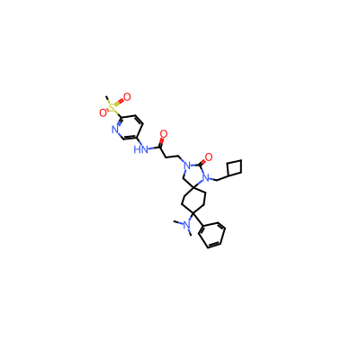 CN(C)C1(c2ccccc2)CCC2(CC1)CN(CCC(=O)Nc1ccc(S(C)(=O)=O)nc1)C(=O)N2CC1CCC1